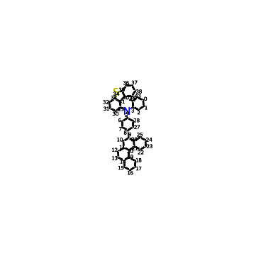 c1ccc(N(c2ccc(-c3cc4ccc5ccccc5c4c4ccccc34)cc2)c2cccc3sc4ccccc4c23)cc1